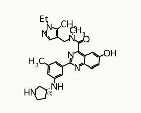 CCn1ncc(CN(C)C(=O)c2nc(-c3cc(C)cc(N[C@@H]4CCNC4)c3)nc3ccc(O)cc23)c1C